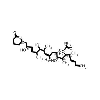 C=CC=C[C@H](C)[C@H](OC(N)=O)[C@@H](C)[C@H](O)[C@@H](C)CC(C)=CC(C)C(O)C(C)C=C[C@@H](O)C[C@H]1CCCC(=O)O1